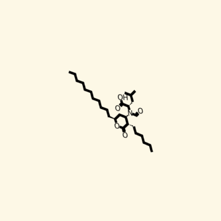 CCCCCCCCCCC[C@H]1C[C@H](N(C=O)[C@@H](CC(C)C)C(=O)O)[C@H](CCCCCC)C(=O)O1